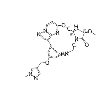 CO[C@@H]1C[C@H]2COc3ccn4ncc(c4n3)-c3cc(cc(OCc4cnn(C)c4)c3)NCCN2C1=O